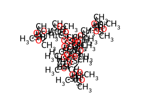 CC1C[SiH](CC[Si](C)(C)O[Si](C)(C)O[Si](C)(C)O[Si](O[SiH2]O[SiH2]O[Si](C)(C)CC[SiH]2O[SiH](C)C[SiH](C)O[SiH](C)O2)(O[Si](C)(C)O[Si](C)(C)O[Si](C)(C)CC[SiH]2OC(C)C[SiH](C)O[SiH](C)O2)O[Si](C)(C)O[Si](C)(C)O[Si](C)(C)CC[SiH]2O[SiH](C)C[SiH](C)O[SiH](C)O2)O[SiH](C)O[SiH](C)O1